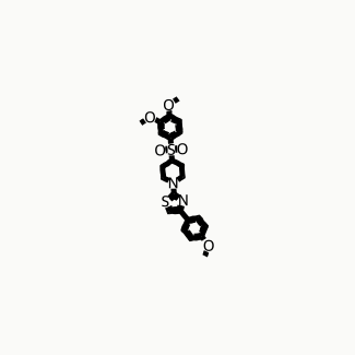 COc1ccc(-c2csc(N3CCC(S(=O)(=O)c4ccc(OC)c(OC)c4)CC3)n2)cc1